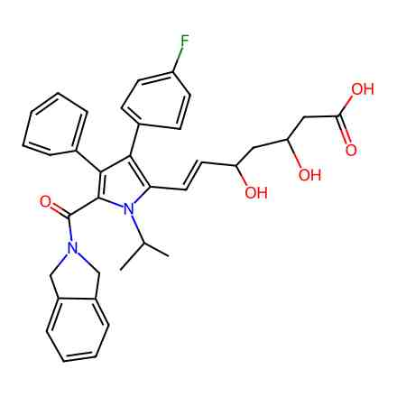 CC(C)n1c(C=CC(O)CC(O)CC(=O)O)c(-c2ccc(F)cc2)c(-c2ccccc2)c1C(=O)N1Cc2ccccc2C1